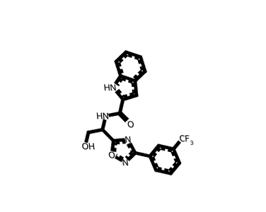 O=C(NC(CO)c1nc(-c2cccc(C(F)(F)F)c2)no1)c1cc2ccccc2[nH]1